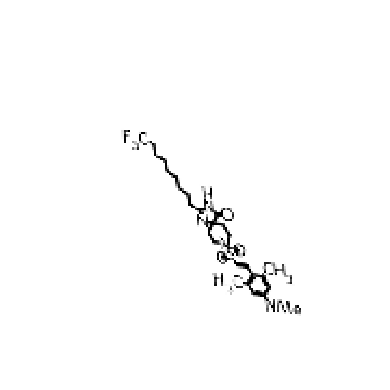 CNc1cc(C)c(C=CS(=O)(=O)N2CCC3(CC2)N=C(CCCCCCCCC(F)(F)F)NC3=O)c(C)c1